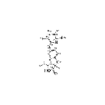 CCCCC(C)(Oc1ccc(Oc2nc(F)c(C)c(F)c2F)cc1)C(=O)O